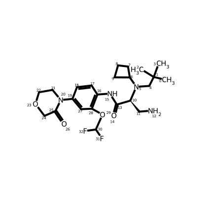 CC(C)(C)CN(C1CCC1)[C@@H](CN)C(=O)Nc1ccc(N2CCOCC2=O)cc1OC(F)F